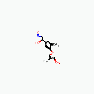 C=C1CC(C(O)CN=O)C=C1OCC(C)CO